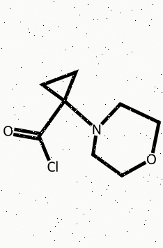 O=C(Cl)C1(N2CCOCC2)CC1